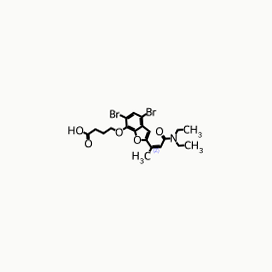 CCN(CC)C(=O)/C=C(/C)c1cc2c(Br)cc(Br)c(OCCCC(=O)O)c2o1